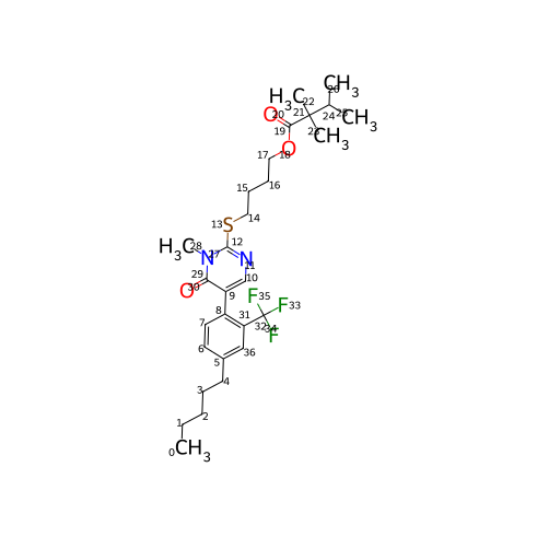 CCCCCc1ccc(-c2cnc(SCCCCOC(=O)C(C)(C)C(C)C)n(C)c2=O)c(C(F)(F)F)c1